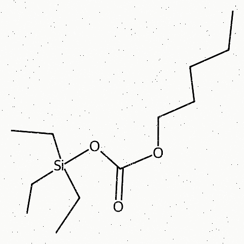 CCCCCOC(=O)O[Si](CC)(CC)CC